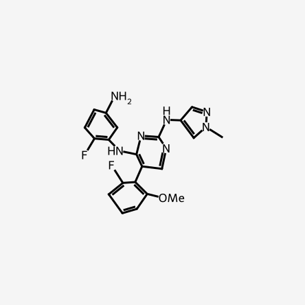 COc1cccc(F)c1-c1cnc(Nc2cnn(C)c2)nc1Nc1cc(N)ccc1F